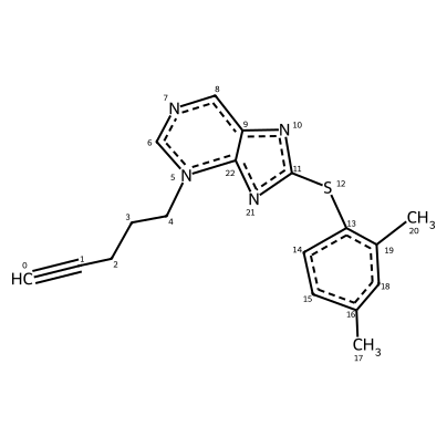 C#CCCCn1cncc2nc(Sc3ccc(C)cc3C)nc1-2